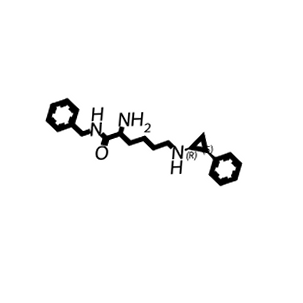 NC(CCCCN[C@@H]1C[C@H]1c1ccccc1)C(=O)NCc1ccccc1